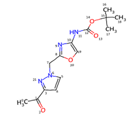 CC(=O)c1ccn(Cc2nc(NC(=O)OC(C)(C)C)co2)n1